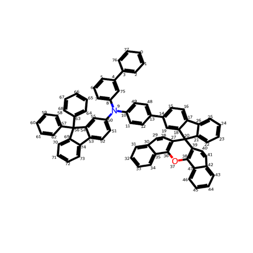 c1ccc(-c2cccc(N(c3ccc(-c4ccc5c(c4)C4(c6ccccc6-5)c5ccc6ccccc6c5Oc5c4ccc4ccccc54)cc3)c3ccc4c(c3)C(c3ccccc3)(c3ccccc3)c3ccccc3-4)c2)cc1